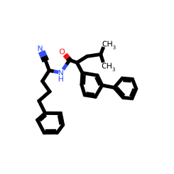 CC(C)CC(C(=O)NC(C#N)CCCc1ccccc1)c1cccc(-c2ccccc2)c1